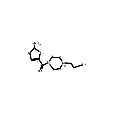 NC1CC=C(C(=O)N2CCN(CCI)CC2)S1